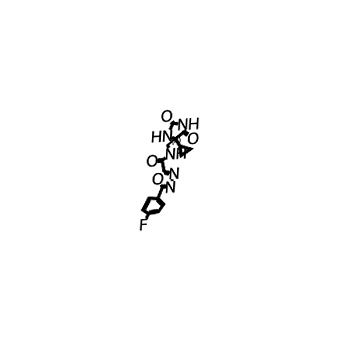 O=C1NC(=O)[C@](CNC(=O)c2nnc(-c3ccc(F)cc3)o2)(C2CC2)N1